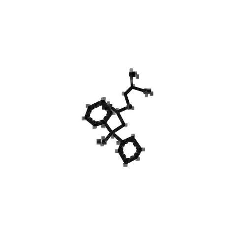 CC(C)COC(C)CC(C)(c1ccccc1)c1ccccc1